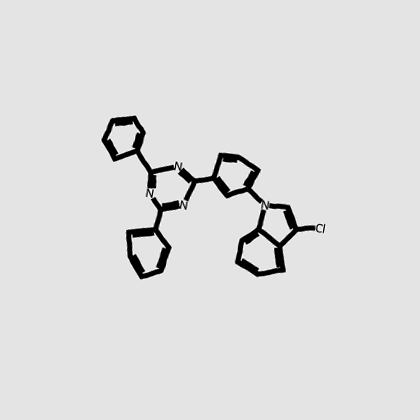 Clc1cn(-c2cccc(-c3nc(-c4ccccc4)nc(-c4ccccc4)n3)c2)c2ccccc12